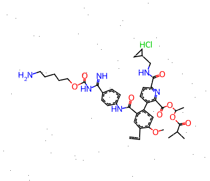 C=Cc1cc(C(=O)Nc2ccc(C(=N)NC(=O)OCCCCCN)cc2)c(-c2ccc(C(=O)NCC3CC3)nc2C(=O)OC(C)OC(=O)C(C)C)cc1OC.Cl